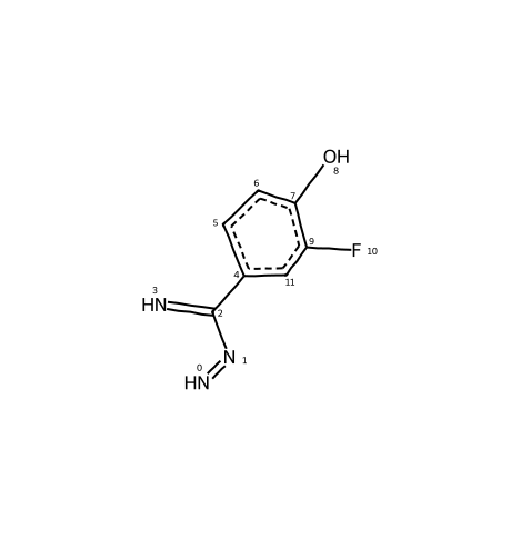 N=NC(=N)c1ccc(O)c(F)c1